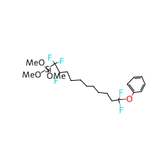 CO[Si](OC)(OC)C(F)(F)C(F)CCCCCCCCC(F)(F)Oc1ccccc1